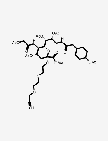 C#CCOCCOCCO[C@]1(C(=O)OC)C[C@H](OC(C)=O)[C@@H](NC(=O)COC(C)=O)[C@H]([C@H](OC(C)=O)[C@@H](CNC(=O)CC2CCC(OC(C)=O)CC2)OC(C)=O)O1